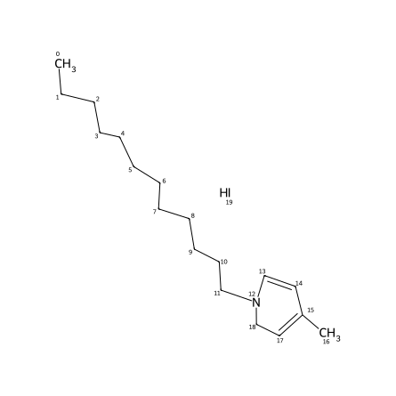 CCCCCCCCCCCCN1C=CC(C)=CC1.I